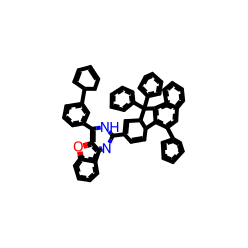 C1=CCC(c2cccc(C3=c4oc5ccccc5c4=NC(C4=CC5C(C=C4)c4c(-c6ccccc6)cc6ccccc6c4C5(c4ccccc4)c4ccccc4)N3)c2)C=C1